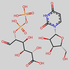 O=C[C@H](OP(=O)(O)OP(=O)(O)O)[C@@H](O)[C@H](O)[C@H](O)C(=O)O.O=c1ccn([C@@H]2O[C@H](CO)[C@@H](O)[C@H]2O)c(=O)[nH]1